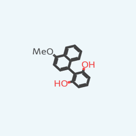 COc1ccc(-c2c(O)cccc2O)c2ccccc12